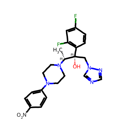 C[C@@H](N1CCN(c2ccc([N+](=O)[O-])cc2)CC1)[C@](O)(Cn1cncn1)c1ccc(F)cc1F